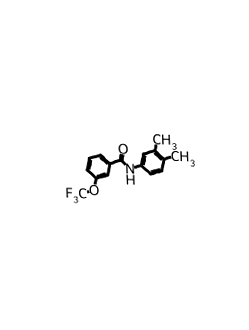 Cc1ccc(NC(=O)c2cccc(OC(F)(F)F)c2)cc1C